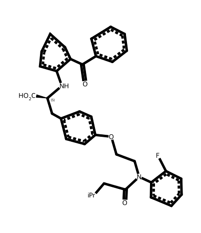 CC(C)CC(=O)N(CCOc1ccc(C[C@H](Nc2ccccc2C(=O)c2ccccc2)C(=O)O)cc1)c1ccccc1F